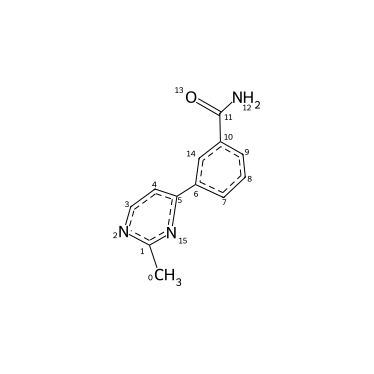 Cc1nccc(-c2cccc(C(N)=O)c2)n1